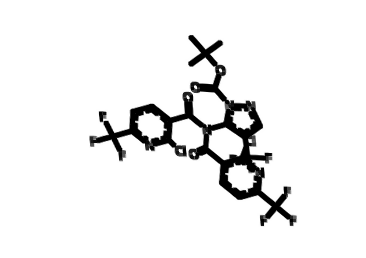 CC(C)(C)OC(=O)n1ncc(C(F)(F)F)c1N(C(=O)c1ccc(C(F)(F)F)nc1Cl)C(=O)c1ccc(C(F)(F)F)nc1Cl